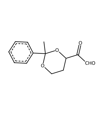 CC1(c2ccccc2)OCCC(C(=O)C=O)O1